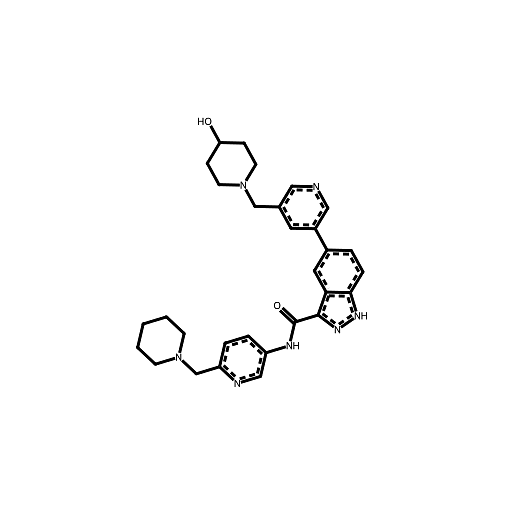 O=C(Nc1ccc(CN2CCCCC2)nc1)c1n[nH]c2ccc(-c3cncc(CN4CCC(O)CC4)c3)cc12